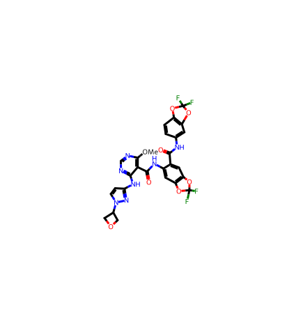 COc1ncnc(Nc2ccn(C3COC3)n2)c1C(=O)Nc1cc2c(cc1C(=O)Nc1ccc3c(c1)OC(F)(F)O3)OC(F)(F)O2